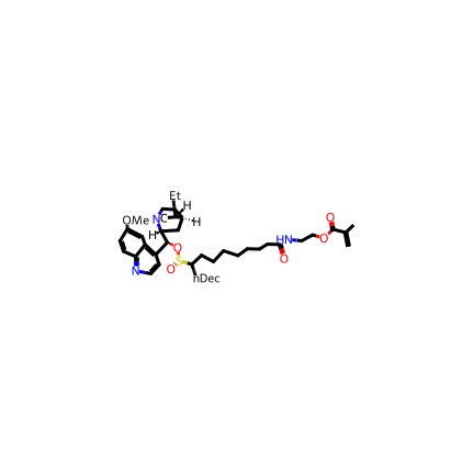 C=C(C)C(=O)OCCNC(=O)CCCCCCCC(CCCCCCCCCC)S(=O)O[C@@H](c1ccnc2ccc(OC)cc12)[C@H]1C[C@@H]2CCN1C[C@@H]2CC